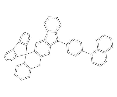 c1ccc2c(c1)Sc1cc3c(cc1C21c2ccccc2-c2ccccc21)c1ccccc1n3-c1ccc(-c2cccc3ccccc23)cc1